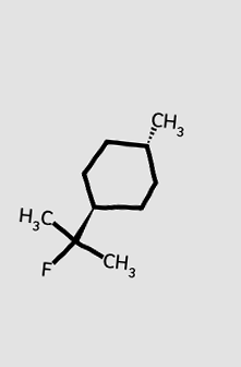 CC(C)(F)[C@H]1CC[C@H](C)CC1